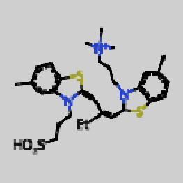 CCC(=CC1Sc2ccc(C)cc2N1CCC[N+](C)(C)C)C=C1Sc2ccc(C)cc2N1CCCS(=O)(=O)O